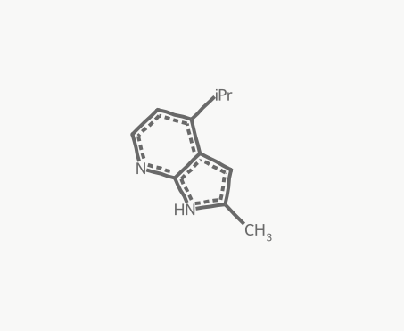 Cc1cc2c(C(C)C)ccnc2[nH]1